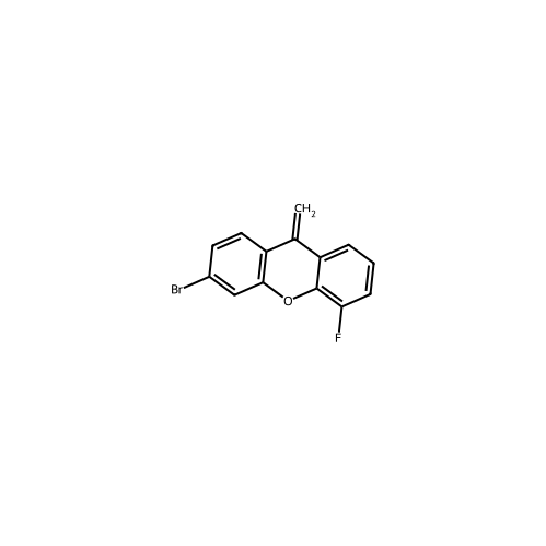 C=C1c2ccc(Br)cc2Oc2c(F)cccc21